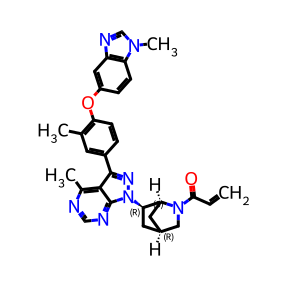 C=CC(=O)N1C[C@H]2C[C@@H](n3nc(-c4ccc(Oc5ccc6c(c5)ncn6C)c(C)c4)c4c(C)ncnc43)[C@@H]1C2